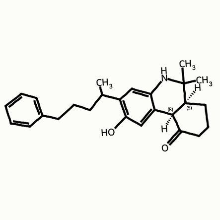 CC(CCCc1ccccc1)c1cc2c(cc1O)[C@@H]1C(=O)CCC[C@@H]1C(C)(C)N2